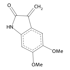 C=C1C(=O)Nc2cc(OC)c(OC)cc21